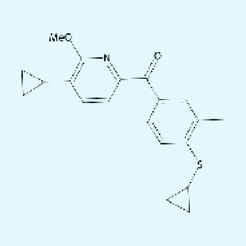 COc1nc(C(=O)c2ccc(SC3CC3)c(C)c2)ccc1C1CC1